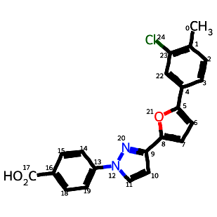 Cc1ccc(-c2ccc(-c3ccn(-c4ccc(C(=O)O)cc4)n3)o2)cc1Cl